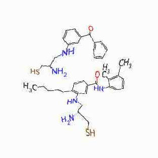 CCCCCc1ccc(C(=O)Nc2cccc(C)c2C)cc1NC[C@@H](N)CS.N[C@@H](CS)CNc1cccc(C(=O)c2ccccc2)c1